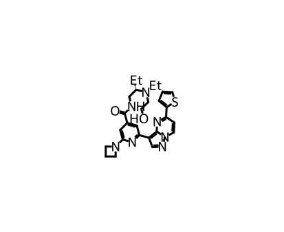 CC[C@@H](CNC(=O)c1cc(-c2cnn3ccc(-c4cccs4)nc23)nc(N2CCC2)c1)N(CC)CCO